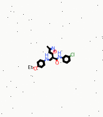 CCOc1ccc(NC=C(C(=O)Nc2cccc(Cl)c2)c2cc(C)no2)cc1